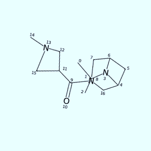 CC(C)N1C2CC1CN(C(=O)C1CN(C)C1)C2